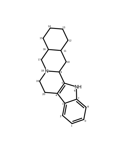 c1ccc2c3c([nH]c2c1)C1CC2CCCCC2CN1CC3